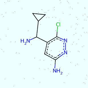 Nc1cc(C(N)C2CC2)c(Cl)nn1